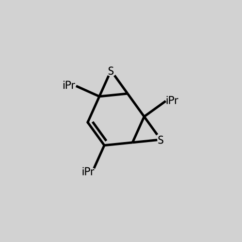 CC(C)C1=CC2(C(C)C)SC2C2(C(C)C)SC12